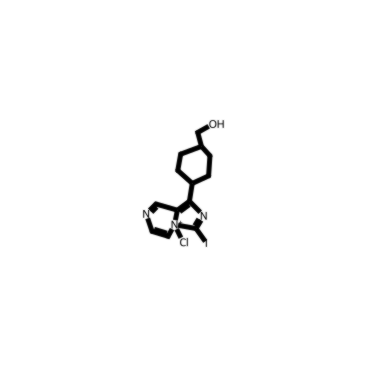 OCC1CCC(C2=C3C=NC=C[N+]3(Cl)C(I)=N2)CC1